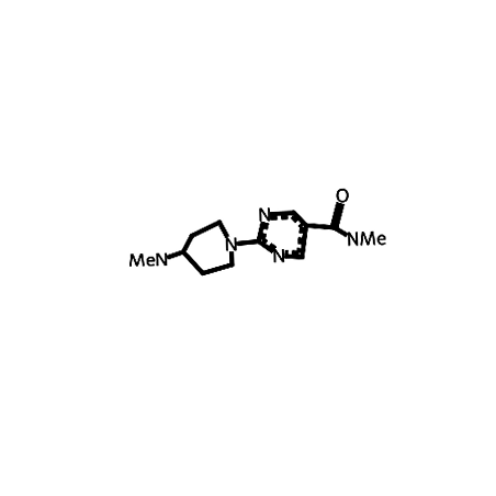 CNC(=O)c1cnc(N2CCC(NC)CC2)nc1